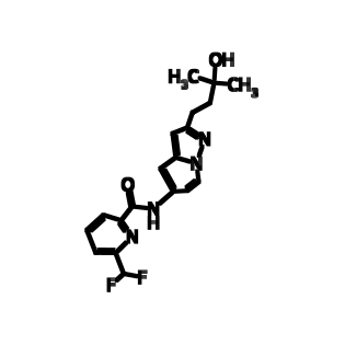 CC(C)(O)CCc1cc2cc(NC(=O)c3cccc(C(F)F)n3)ccn2n1